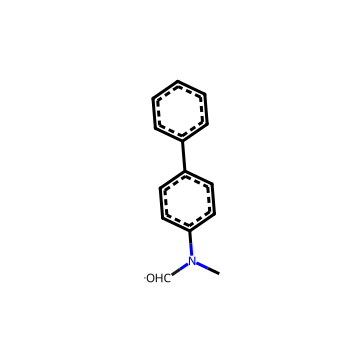 CN([C]=O)c1ccc(-c2ccccc2)cc1